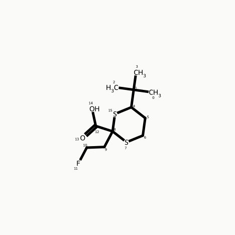 CC(C)(C)C1CCSC(CCF)(C(=O)O)S1